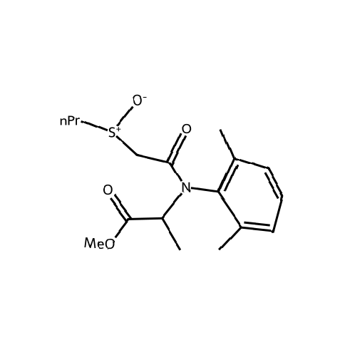 CCC[S+]([O-])CC(=O)N(c1c(C)cccc1C)C(C)C(=O)OC